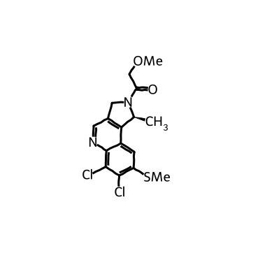 COCC(=O)N1Cc2cnc3c(Cl)c(Cl)c(SC)cc3c2[C@@H]1C